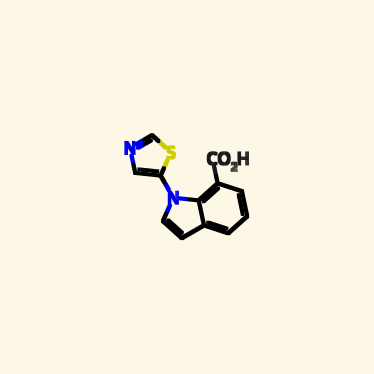 O=C(O)c1cccc2ccn(-c3cncs3)c12